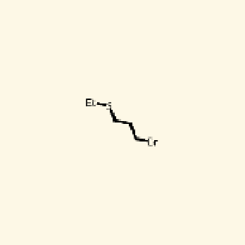 CCSCCCBr